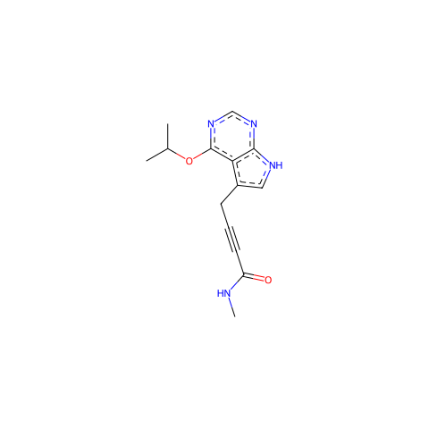 CNC(=O)C#CCc1c[nH]c2ncnc(OC(C)C)c12